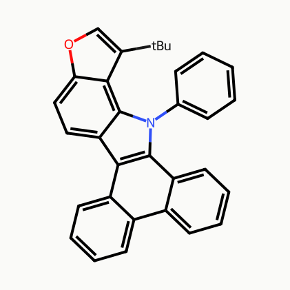 CC(C)(C)c1coc2ccc3c4c5ccccc5c5ccccc5c4n(-c4ccccc4)c3c12